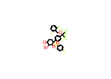 O=C1CCC(c2ccc(C(OCc3c(F)cccc3F)(C(F)(F)F)C(F)(F)F)cc2)(S(=O)(=O)c2ccc(F)cc2)CC1Br